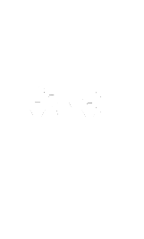 CCCCc1cc(C=Cc2c[n+]([O-])c3ccccc3[n+]2[O-])nc(N)n1